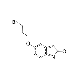 O=C1C=c2cc(OCCCBr)ccc2=N1